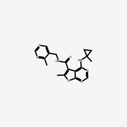 Cc1ncncc1CNC(=O)c1c(C)oc2ncnc(NC3(C)CC3)c12